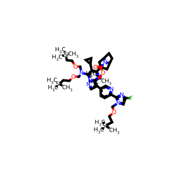 CC(C)(C)OC(=O)N1C2CCC1CC(c1nc3c(-c4ccc(-c5nc(F)cn5COCC[Si](C)(C)C)nc4)cnn3c(N(COCC[Si](C)(C)C)COCC[Si](C)(C)C)c1C1CC1)C2